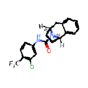 O=C(Nc1ccc(C(F)(F)F)c(Cl)c1)N1[C@@H]2CC[C@H]1c1ccccc1C2